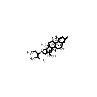 CCC(C(C)C)N1C[C@@H]2C[C@H]3[C@@H]4C[C@H](F)C5=CC(=O)C=C[C@]5(C)[C@@]4(F)[C@@H](O)CC3(C)[C@]2(C(=O)CO)O1